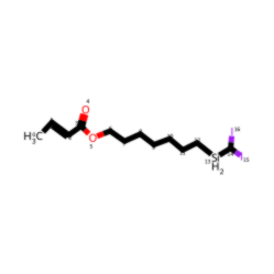 CC=CC(=O)OCCCCCCC[SiH2]C(I)I